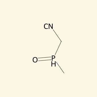 [C-]#[N+]C[PH](C)=O